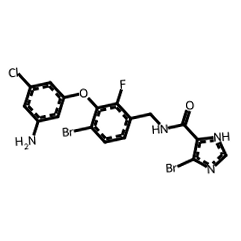 Nc1cc(Cl)cc(Oc2c(Br)ccc(CNC(=O)c3[nH]cnc3Br)c2F)c1